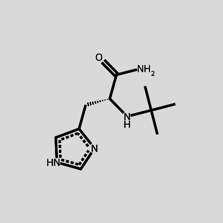 CC(C)(C)N[C@H](Cc1c[nH]cn1)C(N)=O